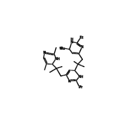 CCC1=NC(CC(C)(C)C2C=C(CC(C)(C)C3NC(C)=NC=C3C)N=C(C(C)C)N2)=CC(C(C)(C)C)N1